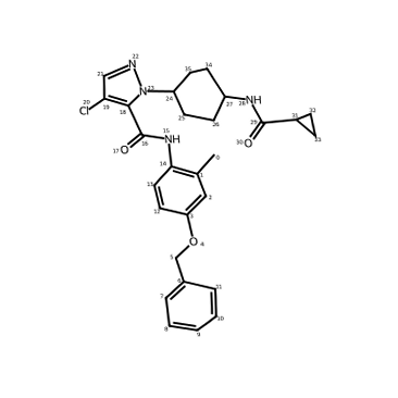 Cc1cc(OCc2ccccc2)ccc1NC(=O)c1c(Cl)cnn1C1CCC(NC(=O)C2CC2)CC1